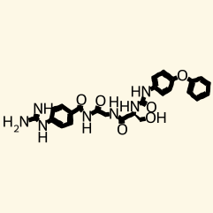 N=C(N)Nc1ccc(C(=O)NC(=O)CNC(=O)[C@H](CO)NC(=O)Nc2ccc(Oc3ccccc3)cc2)cc1